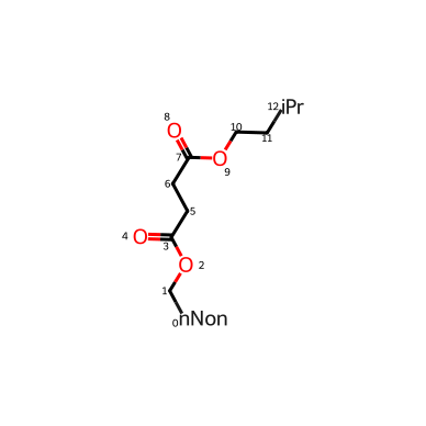 CCCCCCCCCCOC(=O)CCC(=O)OCCC(C)C